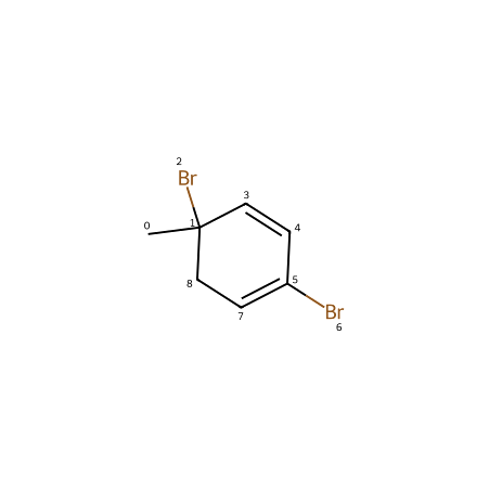 CC1(Br)C=CC(Br)=CC1